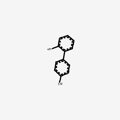 CCCc1ccccc1-c1ccc(C#N)cc1